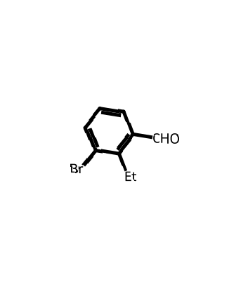 CCc1c(Br)cccc1C=O